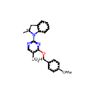 COc1ccc(COc2nc(N3c4ccccc4C[C@@H]3C)ncc2C(=O)O)cc1